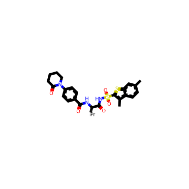 Cc1ccc2c(C)c(S(=O)(=O)NC(=O)C(NC(=O)c3ccc(N4CCCCC4=O)cc3)C(C)C)sc2c1